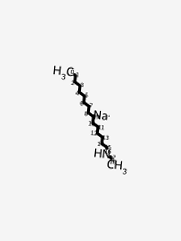 CCCCCCCCCCCCCCCCNCC.[Na]